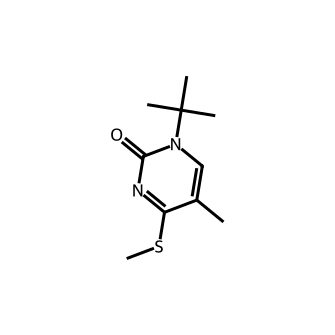 CSc1nc(=O)n(C(C)(C)C)cc1C